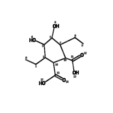 CCC1C(O)C(O)C(CC)C(C(=O)O)C1C(=O)O